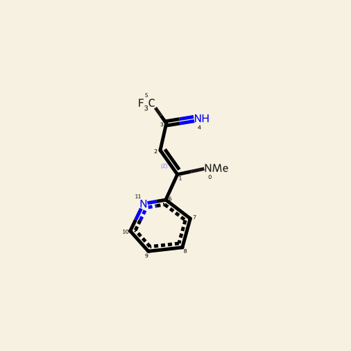 CN/C(=C\C(=N)C(F)(F)F)c1ccccn1